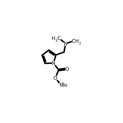 CN(C)Cc1cccn1C(=O)OC(C)(C)C